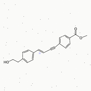 COC(=O)c1ccc(C#C/C=C/c2ccc(CCO)cc2)cc1